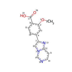 COc1cc(-c2cn3cnccc3n2)ccc1C(=O)O